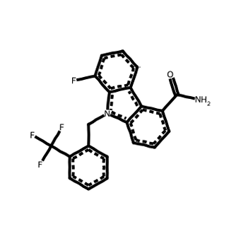 NC(=O)c1cccc2c1c1[c]ccc(F)c1n2Cc1ccccc1C(F)(F)F